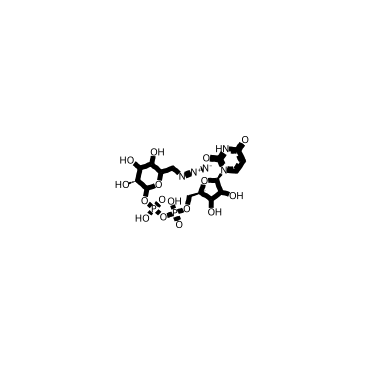 [N-]=[N+]=NCC1OC(OP(=O)(O)OP(=O)(O)OC[C@H]2O[C@@H](n3ccc(=O)[nH]c3=O)C(O)C2O)[C@H](O)C(O)C1O